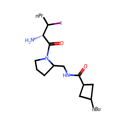 CCCCC1CC(C(=O)NCC2CCCN2C(=O)[C@H](N)C(I)CCC)C1